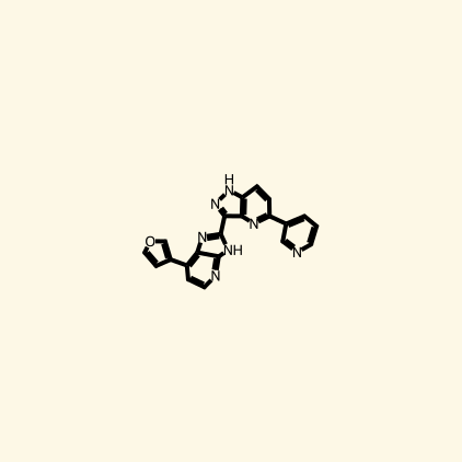 c1cncc(-c2ccc3[nH]nc(-c4nc5c(-c6ccoc6)ccnc5[nH]4)c3n2)c1